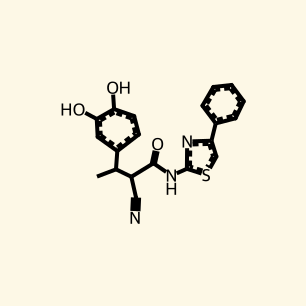 CC(c1ccc(O)c(O)c1)C(C#N)C(=O)Nc1nc(-c2ccccc2)cs1